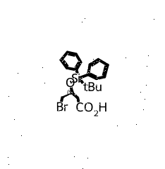 CC(C)(C)[Si](O[C@H](CBr)CC(=O)O)(c1ccccc1)c1ccccc1